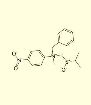 CC(C)[S+]([O-])C[N+](C)(Cc1ccccc1)c1ccc([N+](=O)[O-])cc1